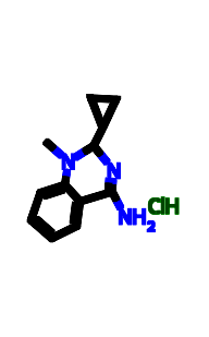 CN1c2ccccc2C(N)=NC1C1CC1.Cl